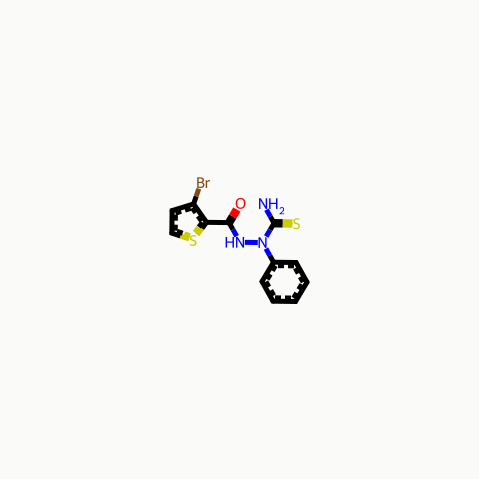 NC(=S)N(NC(=O)c1sccc1Br)c1ccccc1